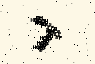 O=P(O)(F)OI(=O)(c1ccc(F)cc1)c1ccc(F)cc1.O=P(O)(O)F.O=P(O)(O)F.O=P(O)(O)F.O=P(O)(O)F.O=P(O)(O)F